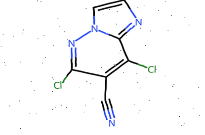 N#Cc1c(Cl)nn2ccnc2c1Cl